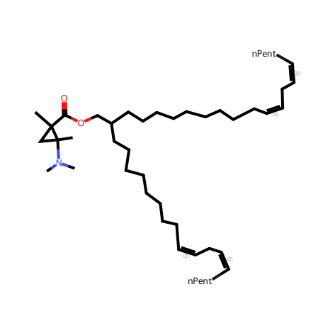 CCCCC/C=C\C/C=C\CCCCCCCCCC(CCCCCCCC/C=C\C/C=C\CCCCC)COC(=O)C1(C)CC1(C)N(C)C